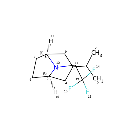 CC(C)C1C[C@H]2CC[C@@H](C1)N2CC(F)(F)F